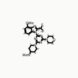 CNC1CCN(c2nc(N3CCOCC3)nc(-n3c(C(F)F)nc4c(OC)cccc43)n2)CC1